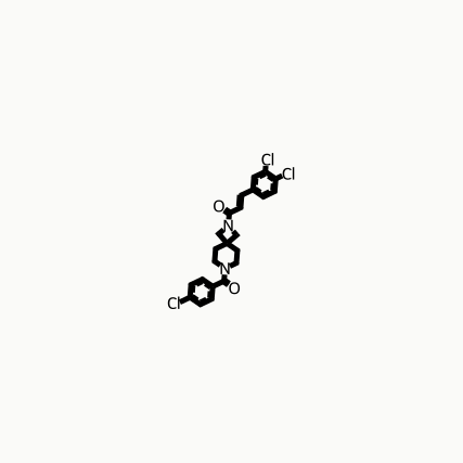 O=C(C=Cc1ccc(Cl)c(Cl)c1)N1CC2(CCN(C(=O)c3ccc(Cl)cc3)CC2)C1